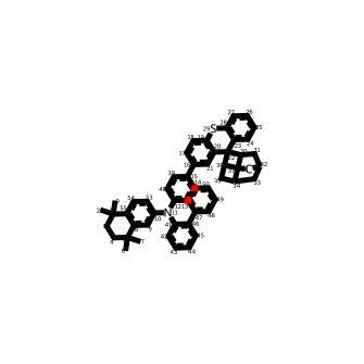 CC1(C)CCC(C)(C)c2cc(N(c3ccc(-c4ccc5c(c4)C4(c6ccccc6S5)C5CC6CC7CC4C75C6)cc3)c3ccccc3-c3ccccc3)ccc21